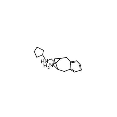 NC1(CNC2CCCC2)C2CCC1Cc1ccccc1C2